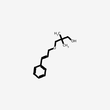 CC(C)(CO)COCC=Cc1ccccc1